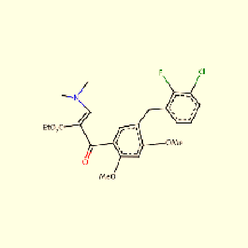 CCOC(=O)C(=CN(C)C)C(=O)c1cc(Cc2cccc(Cl)c2F)c(OC)cc1OC